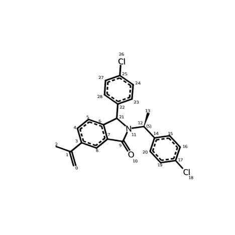 C=C(C)c1ccc2c(c1)C(=O)N([C@@H](C)c1ccc(Cl)cc1)C2c1ccc(Cl)cc1